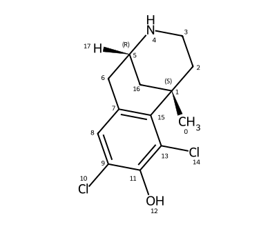 C[C@@]12CCN[C@@H](Cc3cc(Cl)c(O)c(Cl)c31)C2